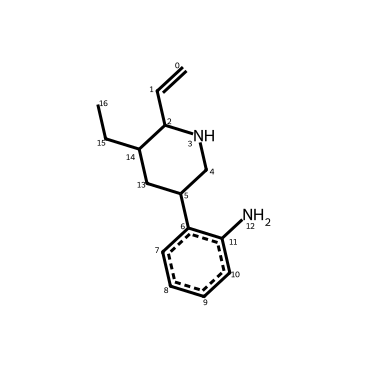 C=CC1NCC(c2ccccc2N)CC1CC